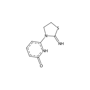 N=C1SCCN1c1cccc(=O)[nH]1